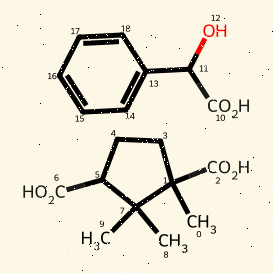 CC1(C(=O)O)CCC(C(=O)O)C1(C)C.O=C(O)C(O)c1ccccc1